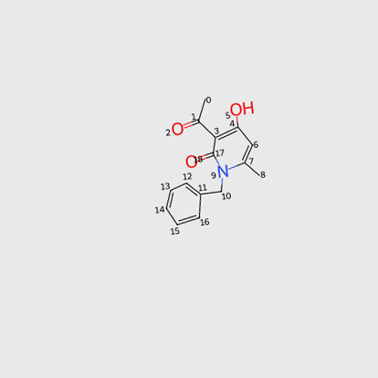 CC(=O)c1c(O)cc(C)n(Cc2ccccc2)c1=O